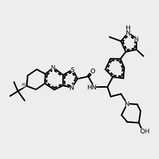 Cc1n[nH]c(C)c1-c1ccc(C(CCN2CCC(O)CC2)NC(=O)c2nc3cc4c(nc3s2)CC[C@H](C(C)(C)C)C4)cc1